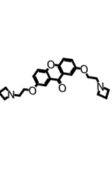 O=c1c2cc(OCCN3CCC3)ccc2oc2ccc(OCCN3CCC3)cc12